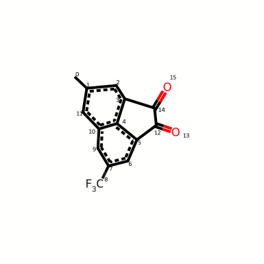 Cc1cc2c3c(cc(C(F)(F)F)cc3c1)C(=O)C2=O